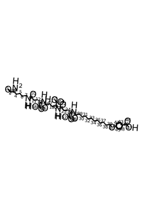 N[C@H]([C]=O)CCCCNC(=O)CC[C@H](NC(=O)CCC(NC(=O)CC[C@H](NC(=O)CCCCCCCCCCCOc1ccc(C(=O)O)cc1)C(=O)O)C(=O)O)C(=O)O